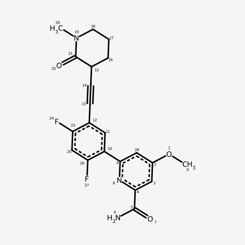 COc1cc(C(N)=O)nc(-c2cc(C#CC3CCCN(C)C3=O)c(F)cc2F)c1